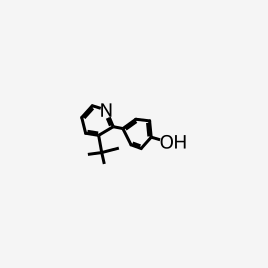 CC(C)(C)c1cccnc1-c1ccc(O)cc1